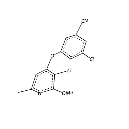 COc1nc(C)cc(Oc2cc(Cl)cc(C#N)c2)c1Cl